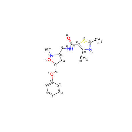 CCN1OC(COc2ccccc2)CC1CNC(=O)c1sc(C)nc1C